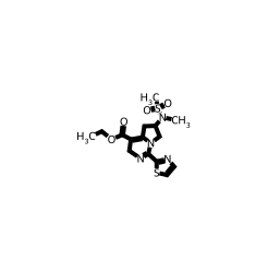 CCOC(=O)C1=C2CC(N(C)S(C)(=O)=O)CN2C(c2nccs2)=NC1